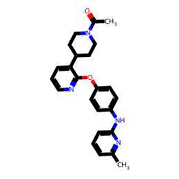 CC(=O)N1CCC(c2cccnc2Oc2ccc(Nc3cccc(C)n3)cc2)CC1